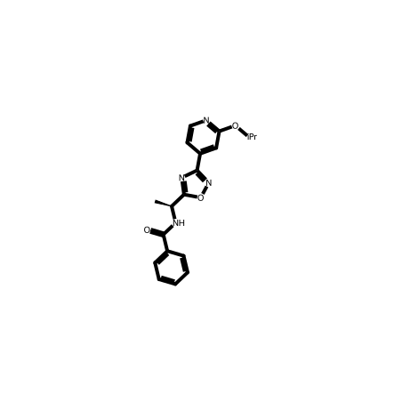 CC(C)Oc1cc(-c2noc([C@H](C)NC(=O)c3ccccc3)n2)ccn1